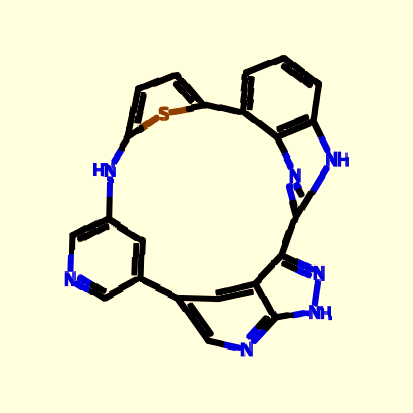 c1cc2[nH]c3nc2c(c1)c1ccc([nH]c2cncc(c2)c2cnc4[nH]nc3c4c2)s1